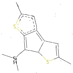 CC1=CC2=c3cc(C)sc3=C([SiH](C)C)C2S1